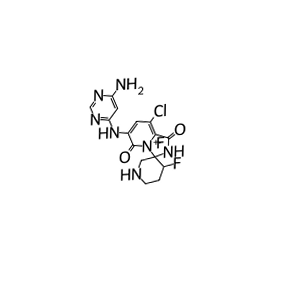 Nc1cc(NC2=CC(Cl)=C3C(=O)NC4(CNCCC4F)[N+]3(F)C2=O)ncn1